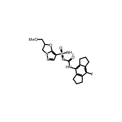 COCC1Cn2ncc(S(N)(=O)=NC(=O)Nc3c4c(c(F)c5c3CCC5)CCC4)c2O1